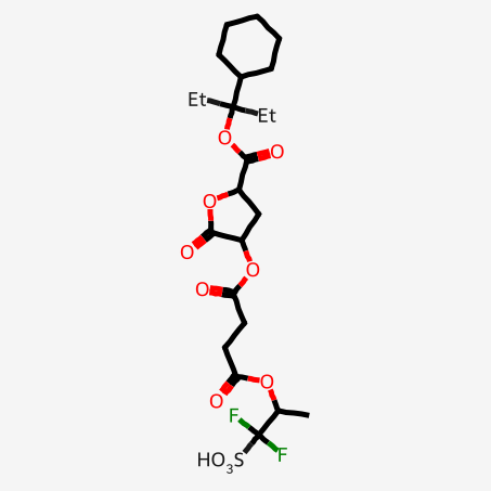 CCC(CC)(OC(=O)C1CC(OC(=O)CCC(=O)OC(C)C(F)(F)S(=O)(=O)O)C(=O)O1)C1CCCCC1